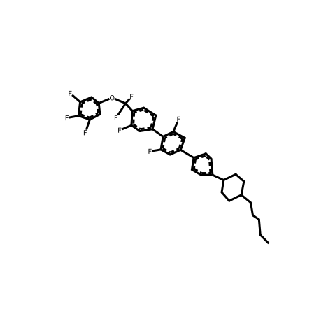 CCCCCC1CCC(c2ccc(-c3cc(F)c(-c4ccc(C(F)(F)Oc5cc(F)c(F)c(F)c5)c(F)c4)c(F)c3)cc2)CC1